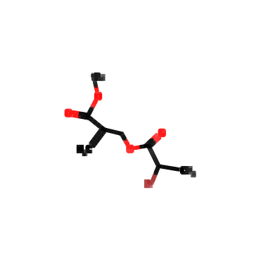 C=C(COC(=O)C(C)Br)C(=O)OC(C)(C)C